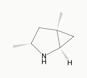 C[C@@H]1C[C@@]2(C)C[C@H]2N1